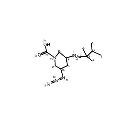 CC(C)C(C)(C)[SiH2]OC1CC(N=[N+]=[N-])CN(C(=O)O)C1